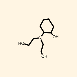 OCCN(CCO)C1CCCCC1O